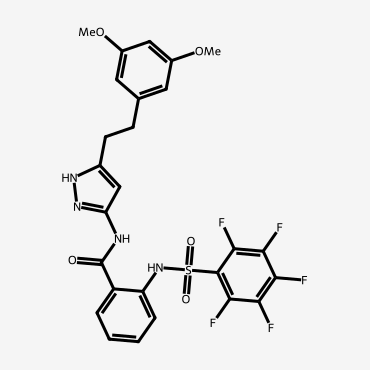 COc1cc(CCc2cc(NC(=O)c3ccccc3NS(=O)(=O)c3c(F)c(F)c(F)c(F)c3F)n[nH]2)cc(OC)c1